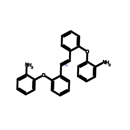 Nc1ccccc1Oc1ccccc1/C=C/c1ccccc1Oc1ccccc1N